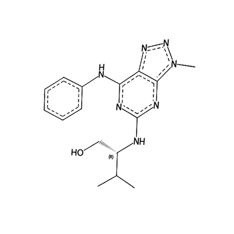 CC(C)[C@H](CO)Nc1nc(Nc2ccccc2)c2nnn(C)c2n1